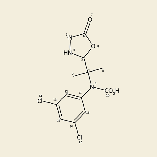 CC(C)(C1N[N]C(=O)O1)N(C(=O)O)c1cc(Cl)cc(Cl)c1